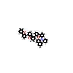 c1ccc(N(c2cccc3ccccc23)c2cccc3c2oc2c(-c4cccc5oc6c(-c7cccc8c7oc7ccccc78)cccc6c45)cccc23)cc1